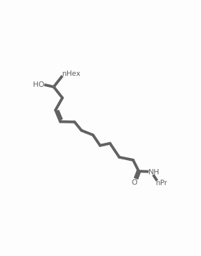 [CH2]CCNC(=O)CCCCCCC/C=C\CC(O)CCCCCC